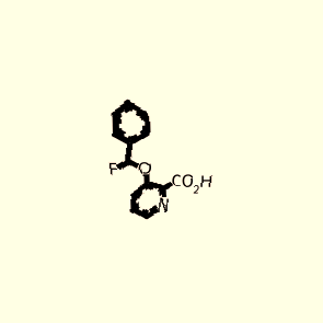 O=C(O)c1ncccc1OC(F)c1ccccc1